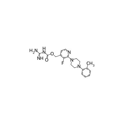 Cc1ccccc1N1CCN(c2nccc(COC(=O)NC(=N)N)c2F)CC1